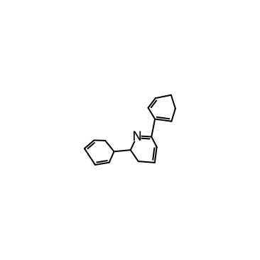 C1=CCC(C2CC=CC(C3=CCCC=C3)=N2)C=C1